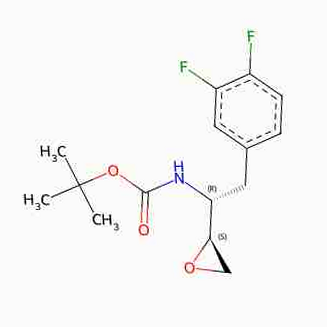 CC(C)(C)OC(=O)N[C@H](Cc1ccc(F)c(F)c1)[C@H]1CO1